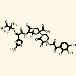 CC(C)(O/N=C(\C(=O)NC1C(=O)N2C[C@@](C(=O)O)(N3CCN(NC(=O)C(=O)c4ccc(O)c(O)c4Cl)C(=O)C3=O)S[C@H]12)c1csc(N)n1)C(=O)O